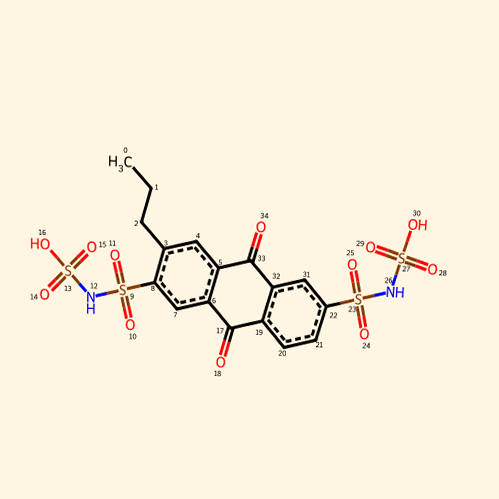 CCCc1cc2c(cc1S(=O)(=O)NS(=O)(=O)O)C(=O)c1ccc(S(=O)(=O)NS(=O)(=O)O)cc1C2=O